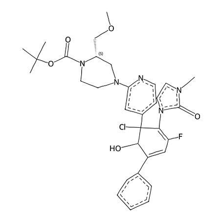 COC[C@@H]1CN(c2cc(C3(Cl)C(n4ccn(C)c4=O)=C(F)C=C(c4ccccc4)C3O)ccn2)CCN1C(=O)OC(C)(C)C